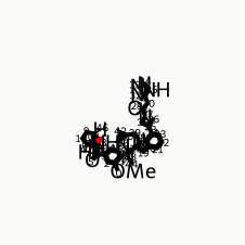 COc1cc(C(=O)N2C[C@H]3CC[C@@H]2[C@@H]3N)cc2nc(-c3cc4cccc(C5CN(C(=O)Cc6nnn[nH]6)C5)c4n3CC3CC3)n(C)c12